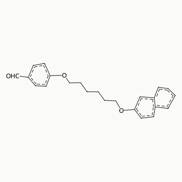 O=Cc1ccc(OCCCCCCOc2ccc3ccccc3c2)cc1